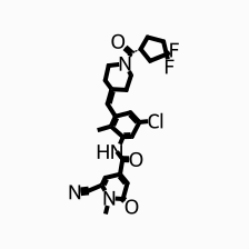 Cc1c(C=C2CCN(C(=O)[C@@H]3CCC(F)(F)C3)CC2)cc(Cl)cc1NC(=O)c1cc(C#N)n(C)c(=O)c1